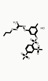 CCCON=C(N)NOc1cc(C)cc(OS(=O)(=O)c2ccc(S(C)(=O)=O)cc2S(C)(=O)=O)c1.Cl